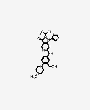 CC(C)n1c(=O)c2cnc(Nc3ccc(N4CCN(C)CC4)c(CO)c3)nc2n1-c1ccsc1